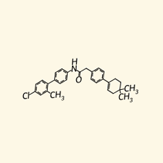 Cc1cc(Cl)ccc1-c1ccc(NC(=O)Cc2ccc(C3=CCC(C)(C)CC3)cc2)cc1